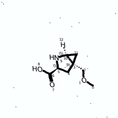 COC[C@]12C[C@@H](C(=O)O)N[C@H]1C2